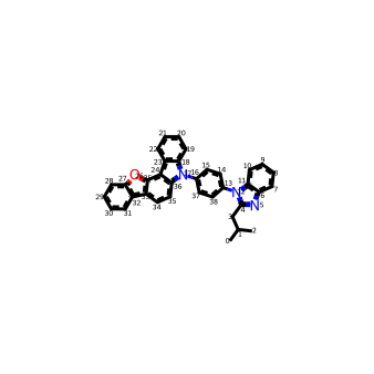 CC(C)Cc1nc2ccccc2n1-c1ccc(-n2c3ccccc3c3c4oc5ccccc5c4ccc32)cc1